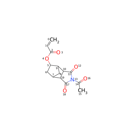 C=CC(=O)OC1CC2CC1C1C(=O)N(C(C)=O)C(=O)C21